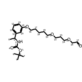 CC(NC(=O)OC(C)(C)C)c1cccc(OCCCCCOCCCOCC=O)c1